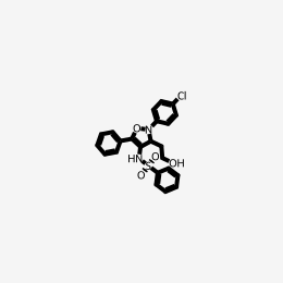 O=S(=O)(NC1=C(c2ccccc2)ON(c2ccc(Cl)cc2)C1CCO)c1ccccc1